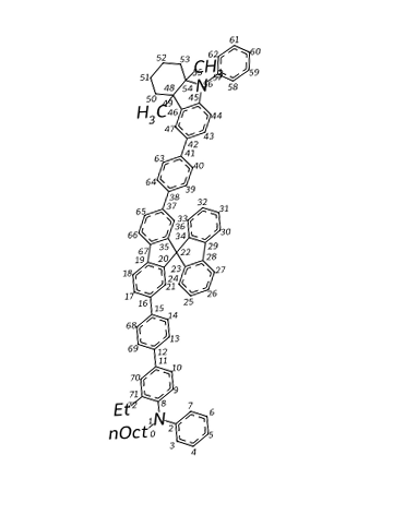 CCCCCCCCN(c1ccccc1)c1ccc(-c2ccc(-c3ccc4c(c3)C3(c5ccccc5-c5ccccc53)c3cc(-c5ccc(-c6ccc7c(c6)C6(C)CCCCC6(C)N7c6ccccc6)cc5)ccc3-4)cc2)cc1CC